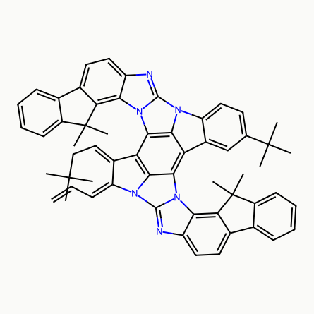 C=C/C=c1\c(=C/CC(C)(C)C)c2c3c(c4c5cc(C(C)(C)C)ccc5n5c4c2n2c4c6c(ccc4nc52)-c2ccccc2C6(C)C)n2c4c5c(ccc4nc2n13)-c1ccccc1C5(C)C